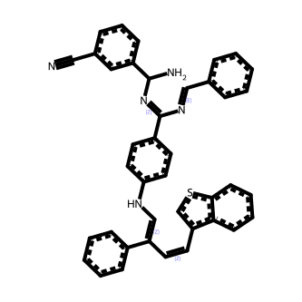 N#Cc1cccc(C(N)/N=C(\N=C\c2ccccc2)c2ccc(N/C=C(/C=C\c3csc4ccccc34)c3ccccc3)cc2)c1